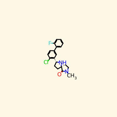 CN1CC[C@@]2(CC[C@H](c3cc(-c4ccccc4F)ccc3Cl)N2)C1=O